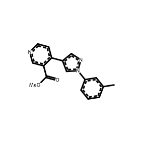 COC(=O)c1cnccc1-c1cnn(-c2cccc(C)c2)c1